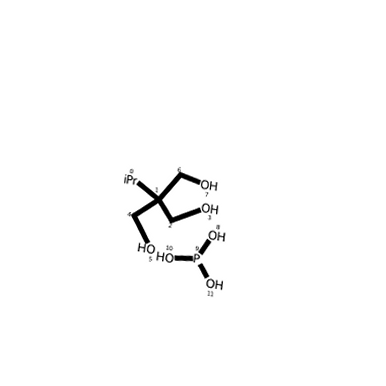 CC(C)C(CO)(CO)CO.OP(O)O